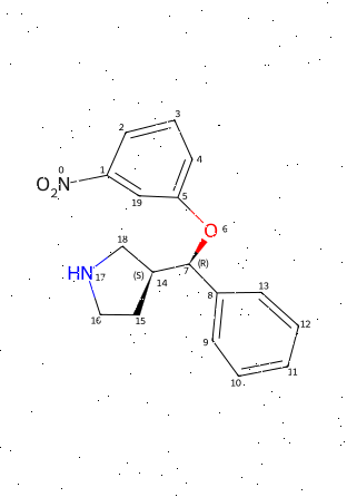 O=[N+]([O-])c1cccc(O[C@@H](c2ccccc2)[C@H]2CCNC2)c1